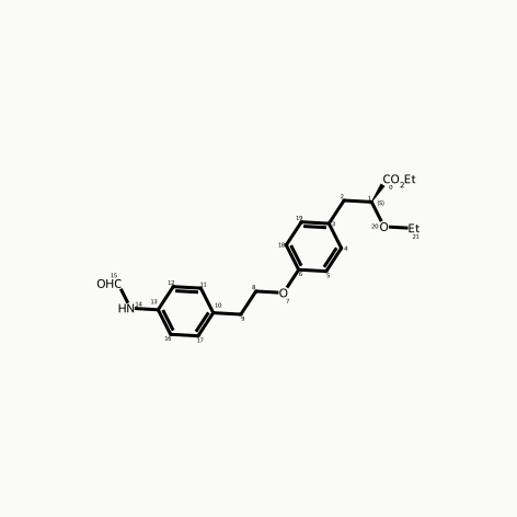 CCOC(=O)[C@H](Cc1ccc(OCCc2ccc(NC=O)cc2)cc1)OCC